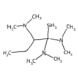 CCC(N(C)C)C([SiH3])(N(C)C)N(C)C